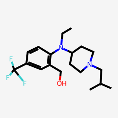 CCN(c1ccc(C(F)(F)F)cc1CO)C1CCN(C[C](C)C)CC1